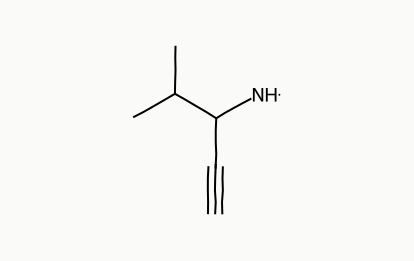 C#CC([NH])C(C)C